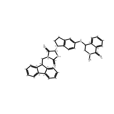 CCN1CC(Oc2ccc3c(c2)CC[C@H]3C2SC(=O)N(CC3c4ccccc4-c4ccccc43)C2=O)c2ccccc2C1=O